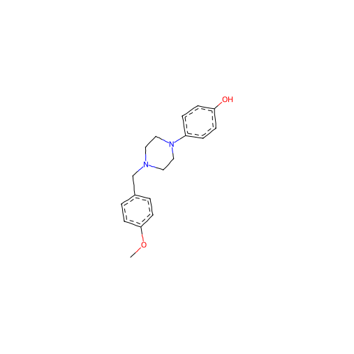 COc1ccc(CN2CCN(c3ccc(O)cc3)CC2)cc1